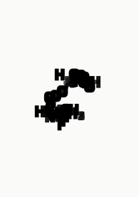 Cn1c(=O)n(C2CCC(=O)NC2=O)c2ccc(CCCOCCOCC(=O)N3CCC(Nc4ncc5c(n4)C([C@@H]4CCC[C@@]4(C)O)C(=O)C(C(F)F)=C5)CC3)cc21